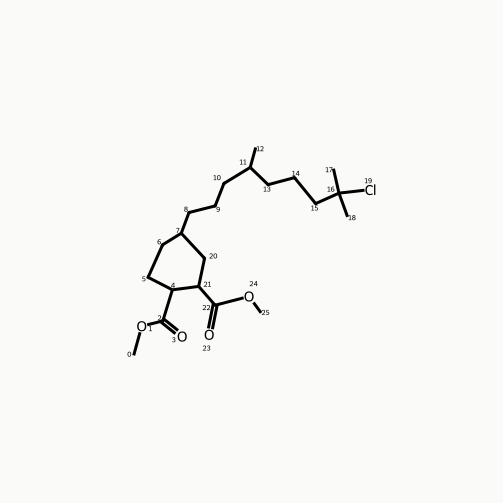 COC(=O)C1CCC(CCCC(C)CCCC(C)(C)Cl)CC1C(=O)OC